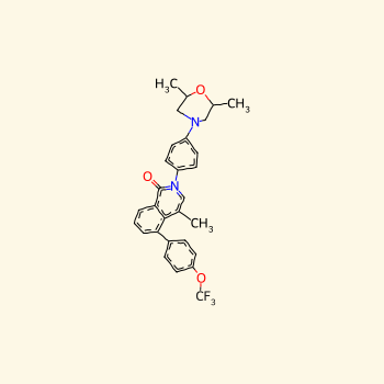 Cc1cn(-c2ccc(N3CC(C)OC(C)C3)cc2)c(=O)c2cccc(-c3ccc(OC(F)(F)F)cc3)c12